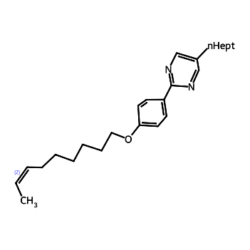 C/C=C\CCCCCCOc1ccc(-c2ncc(CCCCCCC)cn2)cc1